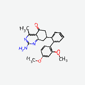 COc1ccc(-c2ccccc2C2CC(=O)c3c(C)nc(N)nc3C2)c(OC)c1